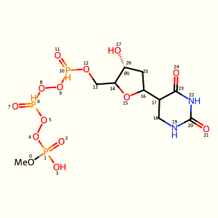 COP(=O)(O)OO[PH](=O)OO[PH](=O)OCC1OC(C2CNC(=O)NC2=O)C[C@H]1O